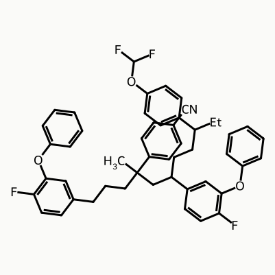 CCC(CCC(CC(C)(CCCc1ccc(F)c(Oc2ccccc2)c1)c1ccc(C#N)cc1)c1ccc(F)c(Oc2ccccc2)c1)c1ccc(OC(F)F)cc1